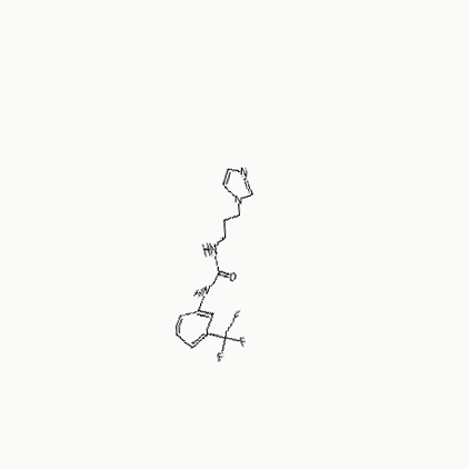 O=C(NCCCn1ccnc1)Nc1cccc(C(F)(F)F)c1